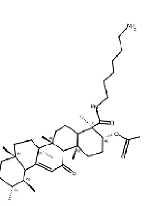 CC(=O)O[C@@H]1CC[C@@]2(C)C(CC[C@]3(C)C2C(=O)C=C2C4[C@@H](C)[C@H](C)CC[C@]4(C)CC[C@]23C)[C@@]1(C)C(=O)NCCCCCCN